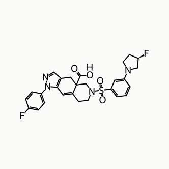 O=C(O)C12Cc3cnn(-c4ccc(F)cc4)c3C=C1CCN(S(=O)(=O)c1cccc(N3CC[C@@H](F)C3)c1)C2